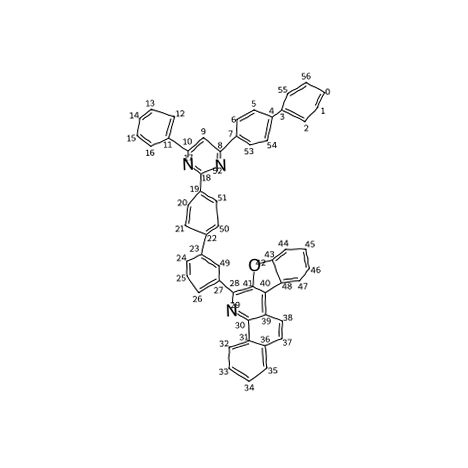 c1ccc(-c2ccc(-c3cc(-c4ccccc4)nc(-c4ccc(-c5cccc(-c6nc7c8ccccc8ccc7c7c6oc6ccccc67)c5)cc4)n3)cc2)cc1